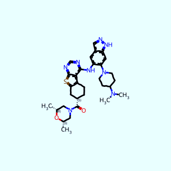 C[C@@H]1CN(C(=O)[C@H]2CCc3c(sc4ncnc(Nc5cc6cn[nH]c6cc5N5CCC(N(C)C)CC5)c34)C2)C[C@H](C)O1